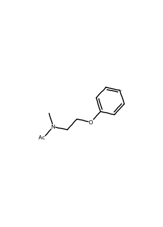 CC(=O)N(C)CCOc1cc[c]cc1